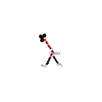 C=CCCCCCCCOCC(OCCCCCCCC=C)C(=O)N(CCCCCCCC)CCOCCOCCOCCOCCOC(c1ccccc1)(c1ccccc1)c1ccccc1